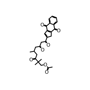 CC(=O)OCC(C)(C)C(=O)CC(C)CC(=O)CC(=O)C1=CC2=C(C1)C(=O)c1ccccc1C2=O